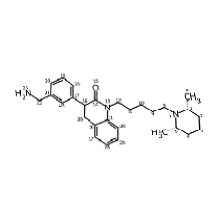 C[C@@H]1CCC[C@H](C)N1CCCCCN1C(=O)C(c2cccc(CN)c2)Cc2ccccc21